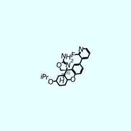 CC(C)OC1CCC2Oc3ccc(-c4cccnc4F)cc3[C@]3(COC(N)=N3)[C@H]2C1